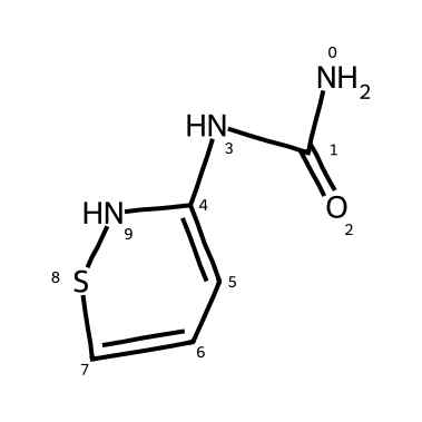 NC(=O)NC1=CC=CSN1